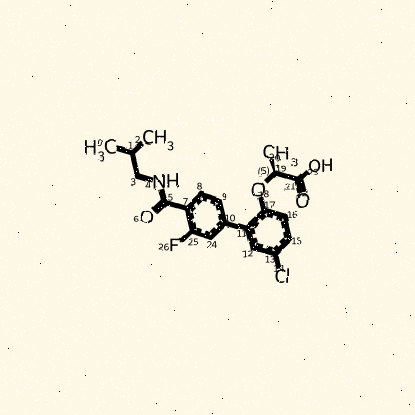 CC(C)CNC(=O)c1ccc(-c2cc(Cl)ccc2O[C@@H](C)C(=O)O)cc1F